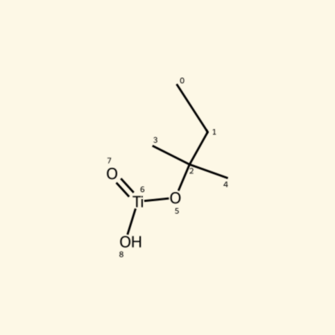 CCC(C)(C)[O][Ti](=[O])[OH]